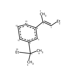 CC/C=C(\C)c1cc(C(C)(C)CC)ccn1